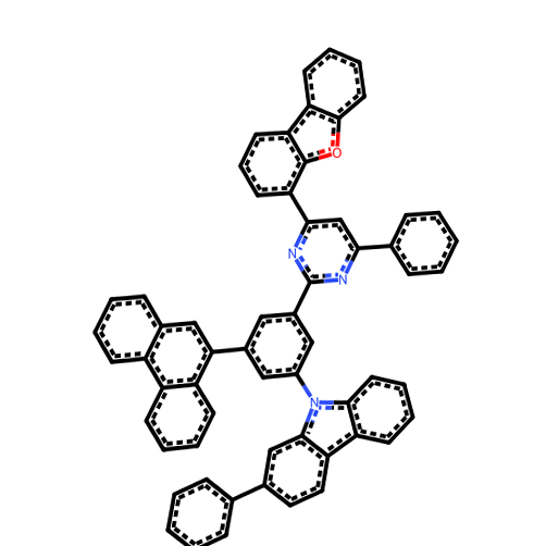 c1ccc(-c2ccc3c4ccccc4n(-c4cc(-c5nc(-c6ccccc6)cc(-c6cccc7c6oc6ccccc67)n5)cc(-c5cc6ccccc6c6ccccc56)c4)c3c2)cc1